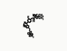 CC(C)(C)OC(=O)NCc1ccc(-c2ncnn3cc(CCOS(C)(=O)=O)cc23)cc1F